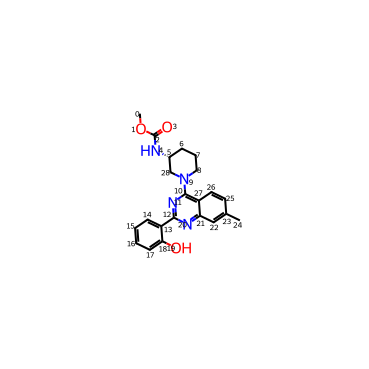 COC(=O)N[C@@H]1CCCN(c2nc(-c3ccccc3O)nc3cc(C)ccc23)C1